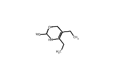 CCC1=C(CC)NC(O)OC1